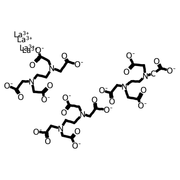 O=C([O-])CN(CCN(CC(=O)[O-])CC(=O)[O-])CC(=O)[O-].O=C([O-])CN(CCN(CC(=O)[O-])CC(=O)[O-])CC(=O)[O-].O=C([O-])CN(CCN(CC(=O)[O-])CC(=O)[O-])CC(=O)[O-].[La+3].[La+3].[La+3].[La+3]